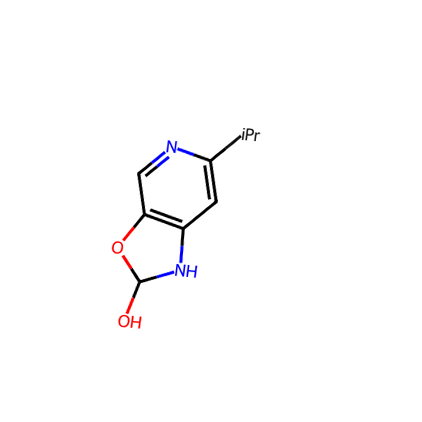 CC(C)c1cc2c(cn1)OC(O)N2